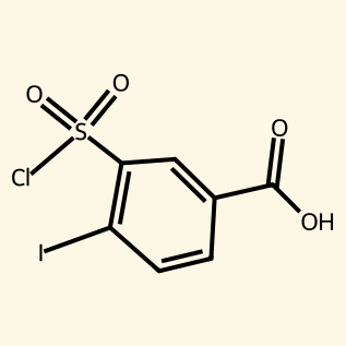 O=C(O)c1ccc(I)c(S(=O)(=O)Cl)c1